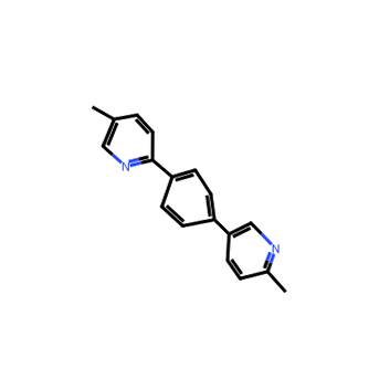 Cc1ccc(-c2ccc(-c3ccc(C)nc3)cc2)nc1